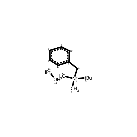 CC(C)(C)[N+](C)(C)Cc1ccccc1.CC(C)O